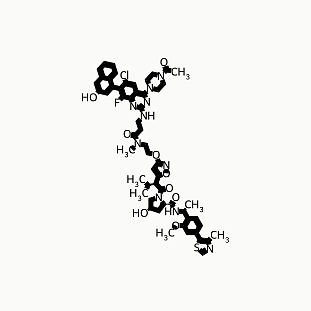 COc1cc(-c2scnc2C)ccc1[C@H](C)NC(=O)[C@@H]1C[C@@H](O)CN1C(=O)[C@H](c1cc(OCCN(C)C(=O)CCNc2nc(N3CCN(C(C)=O)CC3)c3cc(Cl)c(-c4cc(O)cc5ccccc45)c(F)c3n2)no1)C(C)C